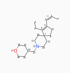 C/C=C\C1=C(CC)C2(CC1)CCN(CC1CCOCC1)CC2